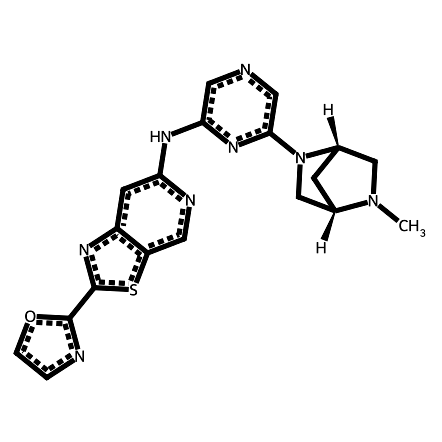 CN1C[C@@H]2C[C@H]1CN2c1cncc(Nc2cc3nc(-c4ncco4)sc3cn2)n1